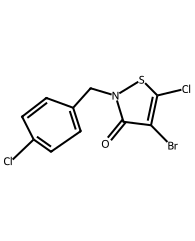 O=c1c(Br)c(Cl)sn1Cc1ccc(Cl)cc1